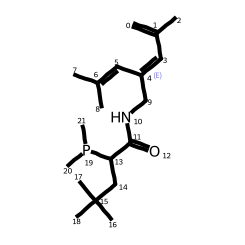 C=C(C)/C=C(\C=C(C)C)CNC(=O)C(CC(C)(C)C)P(C)C